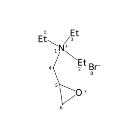 CC[N+](CC)(CC)CC1CO1.[Br-]